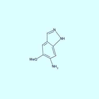 COc1cc2cn[nH]c2cc1N